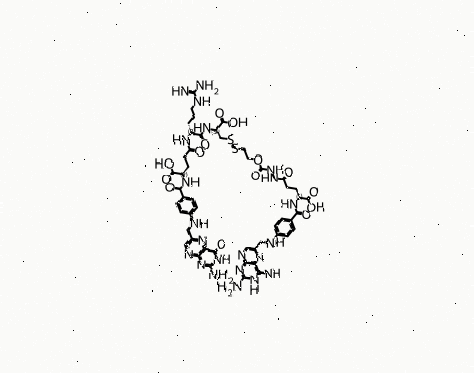 N=C(N)NCCC[C@@H](NC(=O)CC[C@@H](NC(=O)c1ccc(NCc2cnc3nc(N)[nH]c(=O)c3n2)cc1)C(=O)O)C(=O)N[C@H](CSSCCOC(=O)NNC(=O)CC[C@H](NC(=O)c1ccc(NCc2cnc3nc(N)[nH]c(=N)c3n2)cc1)C(=O)O)C(=O)O